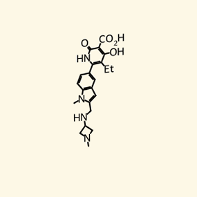 CCc1c(-c2ccc3c(c2)cc(CNC2CN(C)C2)n3C)[nH]c(=O)c(C(=O)O)c1O